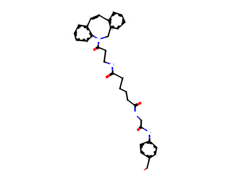 O=C(CCCCC(=O)NCC(=O)Nc1ccc(CO)cc1)NCCC(=O)N1Cc2ccccc2/C=C\c2ccccc21